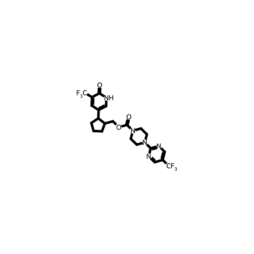 O=C(OCC1CCCC1c1c[nH]c(=O)c(C(F)(F)F)c1)N1CCN(c2ncc(C(F)(F)F)cn2)CC1